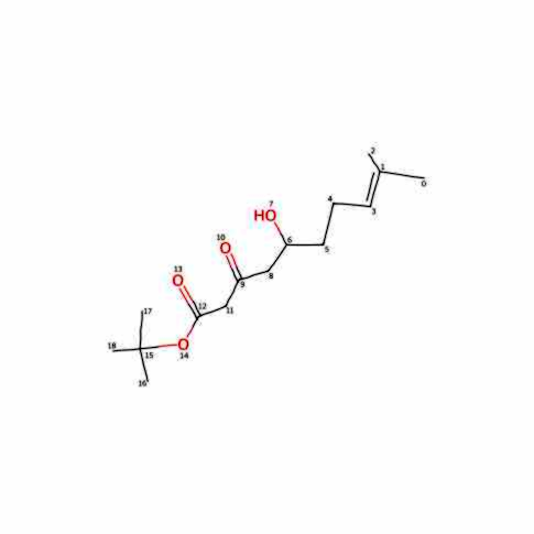 CC(C)=CCCC(O)CC(=O)CC(=O)OC(C)(C)C